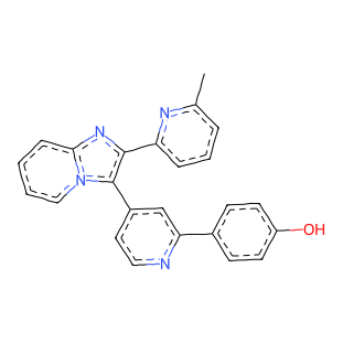 Cc1cccc(-c2nc3ccccn3c2-c2ccnc(-c3ccc(O)cc3)c2)n1